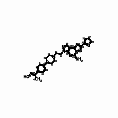 C/C(=N\O)c1ccc(N2CCN(CCn3ncc4c3nc(N)n3nc(-c5ccco5)nc43)CC2)cc1